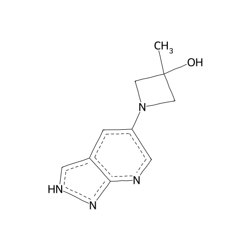 CC1(O)CN(c2cnc3n[nH]cc3c2)C1